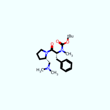 CN(C)C[C@@H]1CCCN1C(=O)[C@@H](Cc1ccccc1)N(C)C(=O)OC(C)(C)C